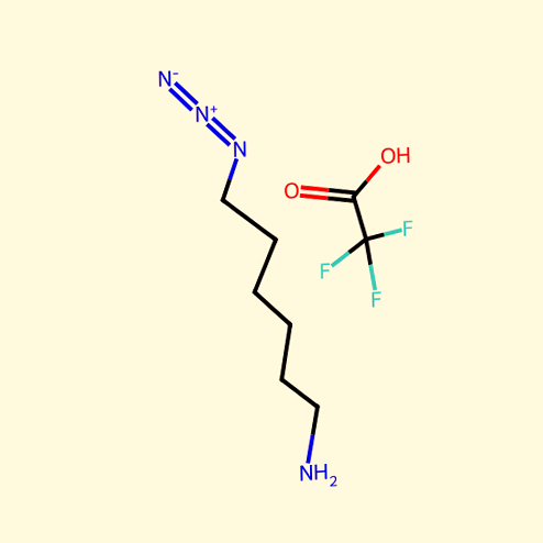 O=C(O)C(F)(F)F.[N-]=[N+]=NCCCCCCN